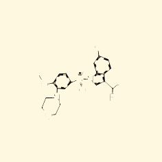 COc1ccc(S(=O)(=O)n2cc(C(F)F)c3ccc(Cl)cc32)cc1N1CCOCC1